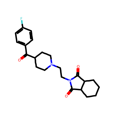 O=C(c1ccc(F)cc1)C1CCN(CCN2C(=O)C3CCCCC3C2=O)CC1